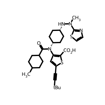 CC1CCC(C(=O)N(c2cc(C#CC(C)(C)C)sc2C(=O)O)[C@H]2CC[C@@H](NN(C)c3nccs3)CC2)CC1